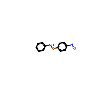 O=Nc1ccc(SNc2ccccc2)cc1